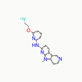 Cn1c2ccncc2c2ccc(Nc3cccc(OCC[18F])n3)nc21